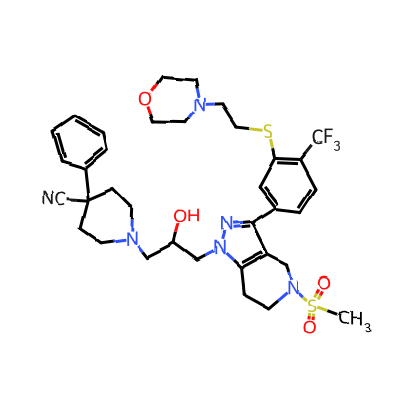 CS(=O)(=O)N1CCc2c(c(-c3ccc(C(F)(F)F)c(SCCN4CCOCC4)c3)nn2CC(O)CN2CCC(C#N)(c3ccccc3)CC2)C1